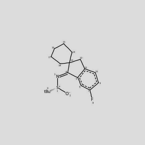 CC(C)(C)[S@@+]([O-])/N=C1\c2cc(F)ccc2CC12CCCCC2